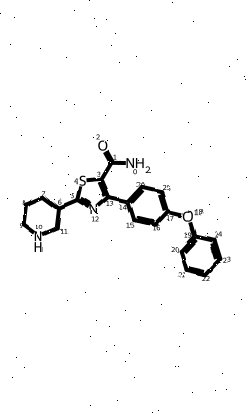 NC(=O)c1sc(C2CCCNC2)nc1-c1ccc(Oc2ccccc2)cc1